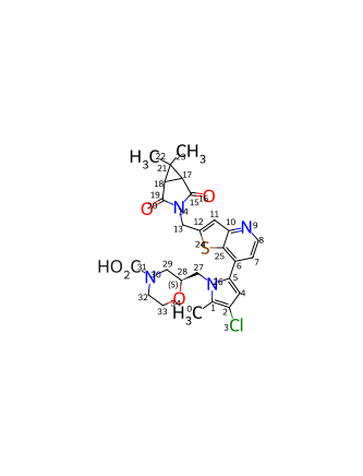 Cc1c(Cl)cc(-c2ccnc3cc(CN4C(=O)C5C(C4=O)C5(C)C)sc23)n1C[C@@H]1CN(C(=O)O)CCO1